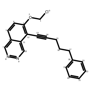 ClCOc1ccc2cnncc2c1C#CCCCc1ccccc1